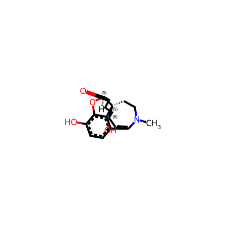 CN1CC[C@]23c4c5ccc(O)c4O[C@H]2C(=O)CC[C@@]3(O)C=C51